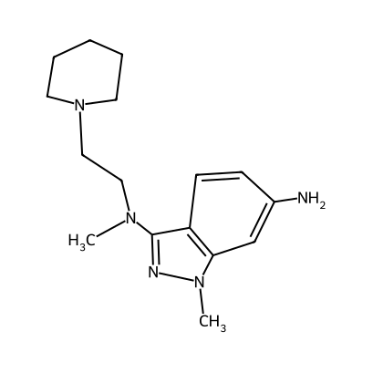 CN(CCN1CCCCC1)c1nn(C)c2cc(N)ccc12